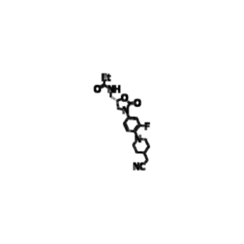 CCC(=O)NC[C@H]1CN(c2ccc(N3CCC(CC#N)CC3)c(F)c2)C(=O)O1